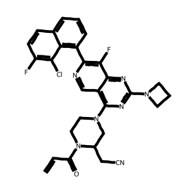 C=CC(=O)N1CCN(c2nc(N3CCC3)nc3c(F)c(-c4cccc5ccc(F)c(Cl)c45)ncc23)CC1CC#N